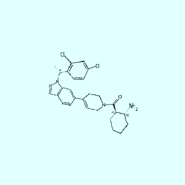 C[C@H](c1ccc(Cl)cc1Cl)n1ncc2ccc(C3=CCN(C(=O)[C@@H]4CCCC[C@H]4N)CC3)cc21